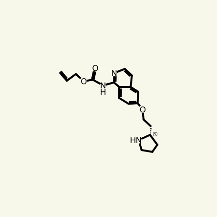 C=CCOC(=O)Nc1nccc2cc(OCC[C@@H]3CCCN3)ccc12